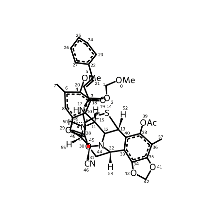 COCOc1c(OC)c(C)cc2c1[C@@H]1C3[C@@H]4SC[C@H](NC(=O)C=Cc5ccccc5)C(=O)OC[C@@H](c5c6c(c(C)c(OC(C)=O)c54)OCO6)N3[C@@H](C#N)[C@H](C2)N1C